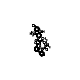 CC(C)[C@@H](NC(=O)c1cccc(-c2ccccc2NC(N)=O)c1)C(=O)N1CC[C@](O)(c2ccc(Cl)cc2)C(C)(C)C1